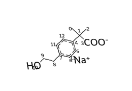 CC(C)(C(=O)[O-])c1ccc(CCO)cc1.[Na+]